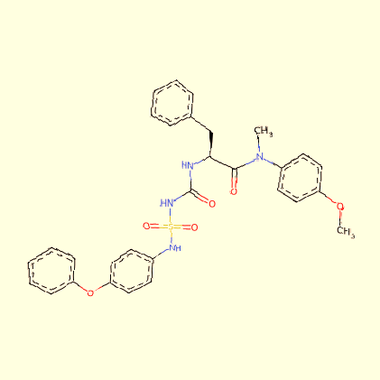 COc1ccc(N(C)C(=O)[C@H](Cc2ccccc2)NC(=O)NS(=O)(=O)Nc2ccc(Oc3ccccc3)cc2)cc1